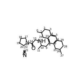 CC1CCc2cc3c(c(CC(C)NCC(=O)N4CCC[C@H]4C#N)c2C1)CC(C)CC3